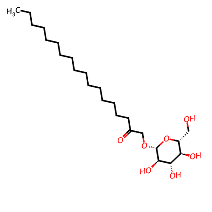 CCCCCCCCCCCCCCCCC(=O)CO[C@@H]1O[C@H](CO)[C@@H](O)[C@H](O)[C@H]1O